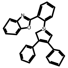 C1=[Si](c2ccccc2-c2nc3ccccc3o2)CC(c2ccccc2)=C1c1ccccc1